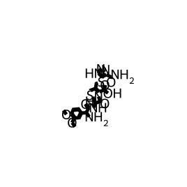 COc1ccc(C(N)C(=O)NC2C(=O)N3C(C(=O)O)=C(CSc4[nH]nnc4C(N)=O)CS[C@H]23)cc1OC